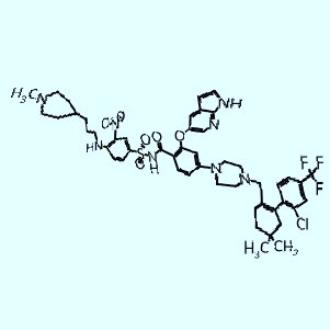 CN1CCC(CCCNc2ccc(S(=O)(=O)NC(=O)c3ccc(N4CCN(CC5=C(c6ccc(C(F)(F)F)cc6Cl)CC(C)(C)CC5)CC4)cc3Oc3cnc4[nH]ccc4c3)cc2[N+](=O)[O-])CC1